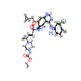 CCOC(=O)CN1CCN(C(C)/C=C/C(=O)Nc2cc3c(Nc4ccc(F)c(Cl)c4)ncnc3cc2OCC2CC2)CC1